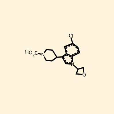 O=C(O)N1CCC(c2cn(C3COC3)c3ccc(Cl)cc23)CC1